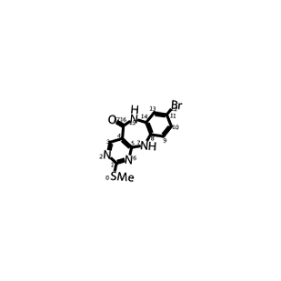 CSc1ncc2c(n1)Nc1ccc(Br)cc1NC2=O